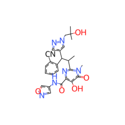 CC(c1nc(C(=O)Nc2cnoc2)c(O)c(=O)n1C)C(c1cnn(CC(C)(C)O)c1)c1ccccc1C#N